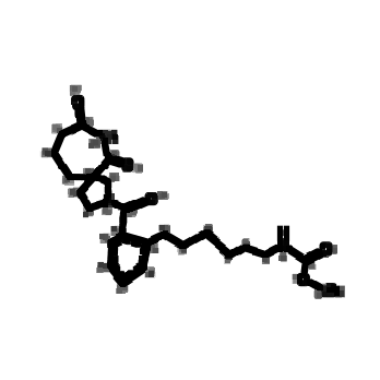 CC(C)(C)OC(=O)NCCCCCCc1ccccc1C(=O)N1CCC2(CCCC(=O)NC2=O)C1